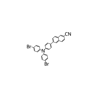 N#Cc1ccc2cc(-c3ccc(N(c4ccc(Br)cc4)c4ccc(Br)cc4)cc3)ccc2c1